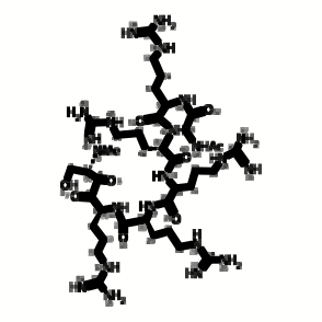 CN[C@@H](CO)C(=O)C(=O)[C@H](CCCNC(=N)N)NC(=O)[C@H](CCCNC(=N)N)NC(=O)C(CCCNC(=N)N)NC(=O)[C@H](CCCNC(=N)N)NC(=O)C(CCCNC(=N)N)NC(=O)CNC(C)=O